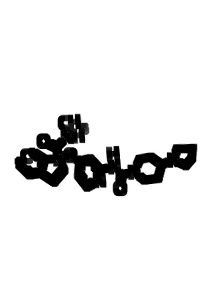 CNC(=O)[N@+]1(Oc2ccnc(NC(=O)N3CCC(N4CCCC4)CC3)c2)C=Cc2ccccc21